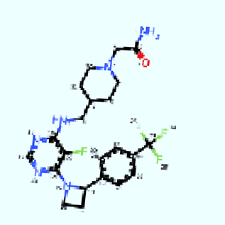 NC(=O)CN1CCC(CNc2ncnc(N3CCC3c3ccc(C(F)(F)F)cc3)c2F)CC1